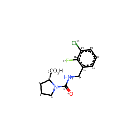 O=C(O)[C@@H]1CCCN1C(=O)NCc1cccc(Cl)c1F